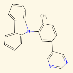 Cc1ccc(-c2cncnc2)cc1-n1c2ccccc2c2ccccc21